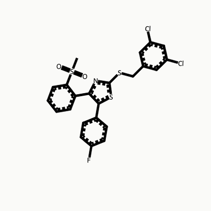 CS(=O)(=O)c1ccccc1-c1nc(SCc2cc(Cl)cc(Cl)c2)sc1-c1ccc(F)cc1